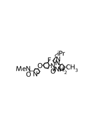 CNC(=O)c1cc(Oc2ccc(N(C(N)=O)c3cc(CC(C)C)nn3-c3cccc(C)c3)c(F)c2)ccn1